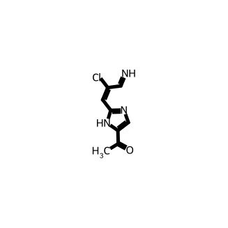 CC(=O)c1cnc(/C=C(/Cl)C=N)[nH]1